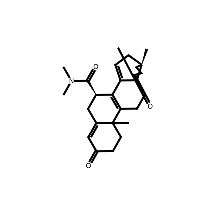 CN(C)C(=O)[C@@H]1CC2=CC(=O)CCC2(C)C2=C1C1=CC[C@@]3(C)CCC(=O)C13CC2